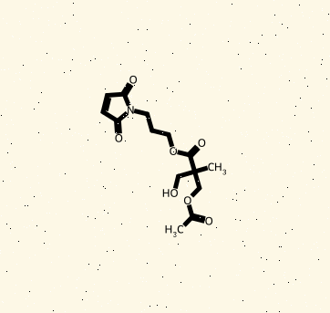 CC(=O)OCC(C)(CO)C(=O)OCCCN1C(=O)C=CC1=O